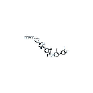 CCCCCC1CCC(c2cnc(-c3ccc(C(F)(F)Oc4ccc(-c5ccc(F)c(F)c5)c(F)c4)c(F)c3)nc2)CC1